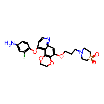 Nc1ccc(Oc2ccnc3cc(OCCCN4CCS(=O)(=O)CC4)c4c(c23)OCCO4)c(F)c1